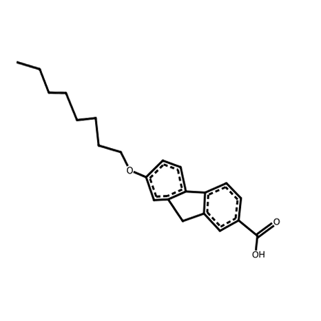 CCCCCCCCOc1ccc2c(c1)Cc1cc(C(=O)O)ccc1-2